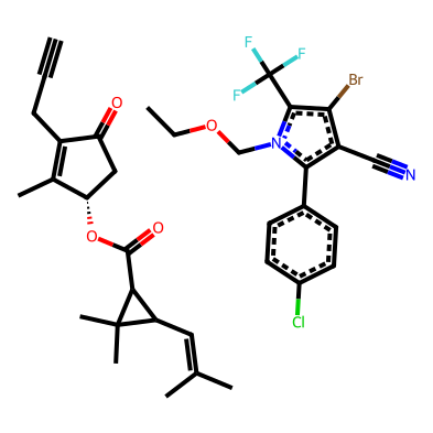 C#CCC1=C(C)[C@@H](OC(=O)C2C(C=C(C)C)C2(C)C)CC1=O.CCOCn1c(-c2ccc(Cl)cc2)c(C#N)c(Br)c1C(F)(F)F